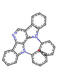 c1ccc(-n2c3ccccc3c3cnc4c5ccccc5n(-c5ccccc5)c4c32)cc1